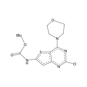 CC(C)(C)OC(=O)Nc1cc2nc(Cl)nc(N3CCOCC3)c2s1